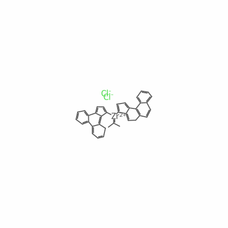 C[C](C)=[Zr+2]([C]1=CC=C2C1=CCc1ccc3ccccc3c12)[C]1=CC=c2c1c1c(c3ccccc23)=CC=CC1.[Cl-].[Cl-]